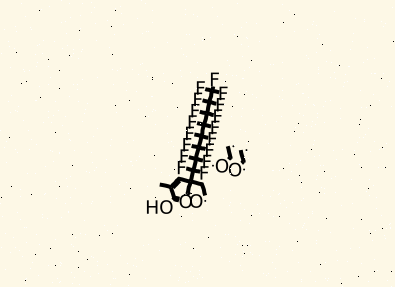 CCC(C=C(C)C(=O)O)(C[O])C(F)(F)C(F)(F)C(F)(F)C(F)(F)C(F)(F)C(F)(F)C(F)(F)C(F)(F)F.[CH2]C[O].[CH2]C[O]